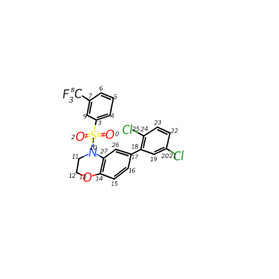 O=S(=O)(c1cccc(C(F)(F)F)c1)N1CCOc2ccc(-c3cc(Cl)ccc3Cl)cc21